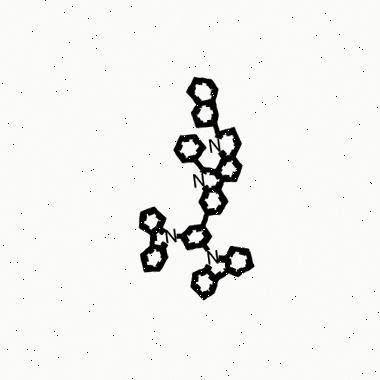 c1ccc(-c2nc3cc(-c4cc(-n5c6ccccc6c6ccccc65)cc(-n5c6ccccc6c6ccccc65)c4)ccc3c3ccc4ccc(-c5ccc6ccccc6c5)nc4c23)cc1